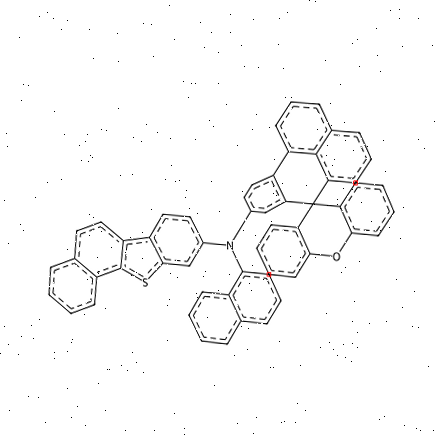 c1ccc2c(c1)Oc1ccccc1C21c2cc(N(c3ccc4c(c3)sc3c5ccccc5ccc43)c3cccc4ccccc34)ccc2-c2cccc3cccc1c23